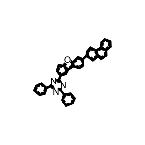 c1ccc(-c2nc(-c3ccccc3)nc(-c3ccc4oc5cc(-c6ccc7c(ccc8ccccc87)c6)ccc5c4c3)n2)cc1